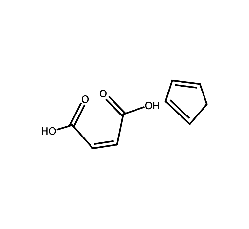 C1=CCC=C1.O=C(O)/C=C\C(=O)O